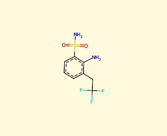 Nc1c(CC(F)(F)F)cccc1S(N)(=O)=O